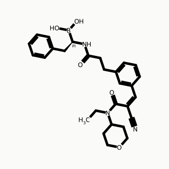 CCN(C(=O)C(C#N)=Cc1cccc(CCC(=O)N[C@@H](Cc2ccccc2)B(O)O)c1)C1CCOCC1